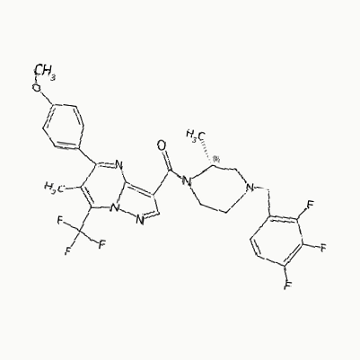 COc1ccc(-c2nc3c(C(=O)N4CCN(Cc5ccc(F)c(F)c5F)C[C@H]4C)cnn3c(C(F)(F)F)c2C)cc1